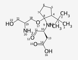 CC(C)(C)C1CCCC1(N[C@H](C=O)CC(=O)O)OCC(N)CO